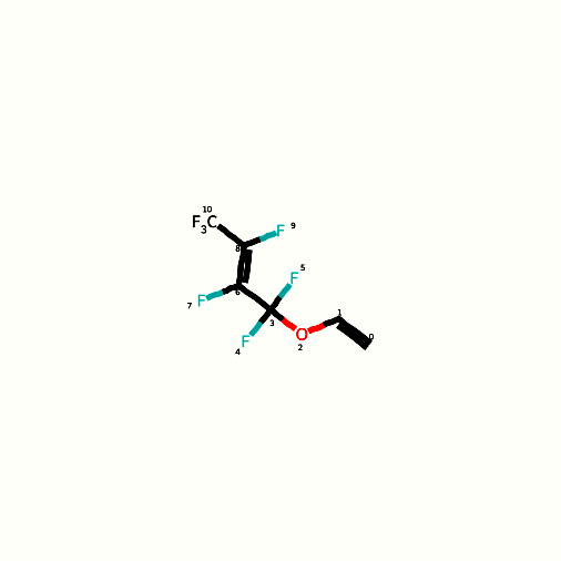 C=COC(F)(F)C(F)=C(F)C(F)(F)F